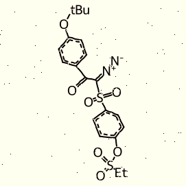 CCS(=O)(=O)Oc1ccc(S(=O)(=O)C(=[N+]=[N-])C(=O)c2ccc(OC(C)(C)C)cc2)cc1